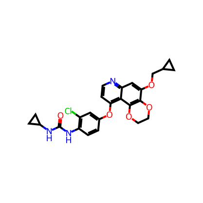 O=C(Nc1ccc(Oc2ccnc3cc(OCC4CC4)c4c(c23)OCCO4)cc1Cl)NC1CC1